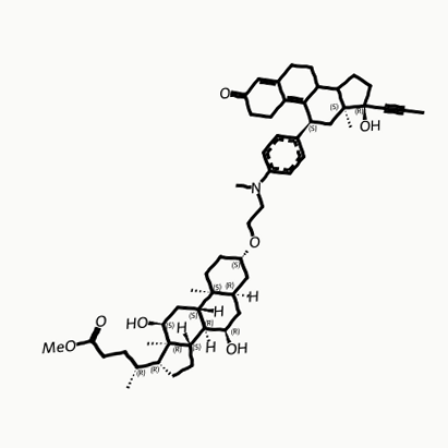 CC#C[C@@]1(O)CCC2C3CCC4=CC(=O)CCC4=C3[C@H](c3ccc(N(C)CCO[C@H]4CC[C@@]5(C)[C@@H](C4)C[C@@H](O)[C@@H]4[C@@H]5C[C@H](O)[C@]5(C)[C@@H]([C@H](C)CCC(=O)OC)CC[C@@H]45)cc3)C[C@@]21C